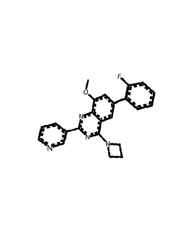 COc1cc(-c2ccccc2F)cc2c(N3CCC3)nc(-c3cccnc3)nc12